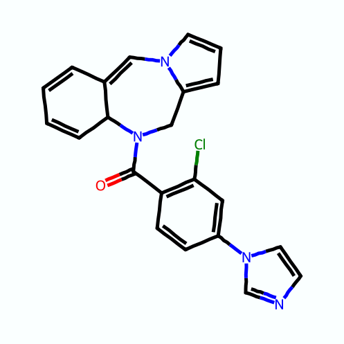 O=C(c1ccc(-n2ccnc2)cc1Cl)N1Cc2cccn2C=C2C=CC=CC21